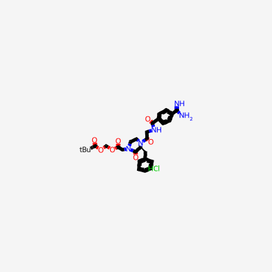 CC(C)(C)C(=O)OCOC(=O)CN1CCN(C(=O)CNC(=O)c2ccc(C(=N)N)cc2)[C@@H](Cc2ccccc2)C1=O.Cl